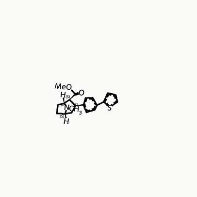 COC(=O)[C@H]1[C@@H](c2ccc(-c3cccs3)cc2)C[C@@H]2CC[C@H]1N2C